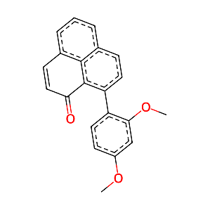 COc1ccc(-c2ccc3cccc4c3c2C(=O)C=C4)c(OC)c1